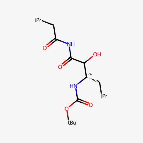 CC(C)CC(=O)NC(=O)C(O)[C@H](CC(C)C)NC(=O)OC(C)(C)C